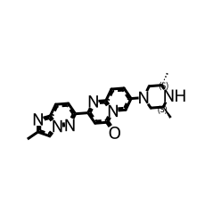 Cc1cn2nc(-c3cc(=O)n4cc(N5C[C@H](C)N[C@@H](C)C5)ccc4n3)ccc2n1